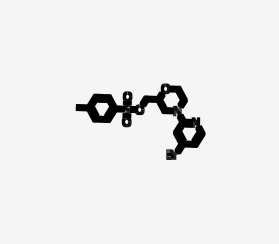 Cc1ccc(S(=O)(=O)OCC2CN(c3cc(Br)ccn3)CCO2)cc1